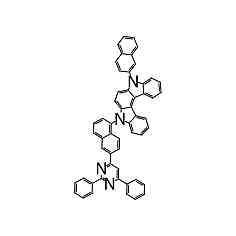 c1ccc(-c2cc(-c3ccc4c(-n5c6ccccc6c6c7c8ccccc8n(-c8ccc9ccccc9c8)c7ccc65)cccc4c3)nc(-c3ccccc3)n2)cc1